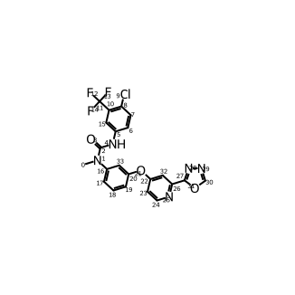 CN(C(=O)Nc1ccc(Cl)c(C(F)(F)F)c1)c1cccc(Oc2ccnc(-c3nnco3)c2)c1